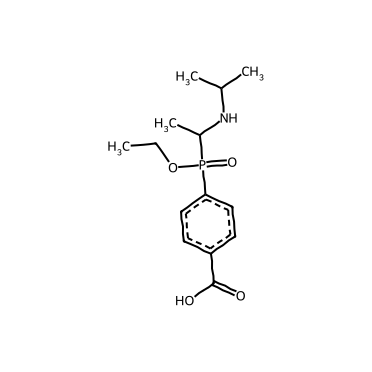 CCOP(=O)(c1ccc(C(=O)O)cc1)C(C)NC(C)C